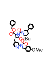 COc1ccc(CN(C(=O)OC(C)(C)C)c2cc(C[C@H]3C(=O)N(C(=O)N4CCCC(c5ccccc5)C4)[C@@H]3C(=O)OCc3ccccc3)ccn2)cc1